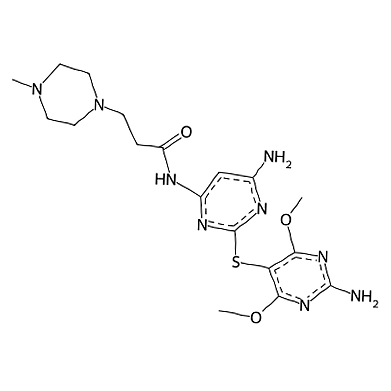 COc1nc(N)nc(OC)c1Sc1nc(N)cc(NC(=O)CCN2CCN(C)CC2)n1